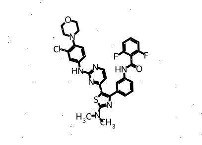 CN(C)c1nc(-c2cccc(NC(=O)c3c(F)cccc3F)c2)c(-c2ccnc(Nc3ccc(N4CCOCC4)c(Cl)c3)n2)s1